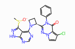 C[S+]([O-])c1n[nH]c2ncnc(N3CC[C@H]3c3nn4ccc(Cl)c4c(=O)n3-c3ccccc3)c12